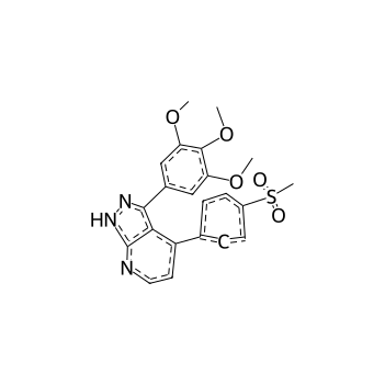 COc1cc(-c2n[nH]c3nccc(-c4ccc(S(C)(=O)=O)cc4)c23)cc(OC)c1OC